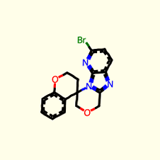 Brc1ccc2nc3n(c2n1)C1(CCOc2ccccc21)COC3